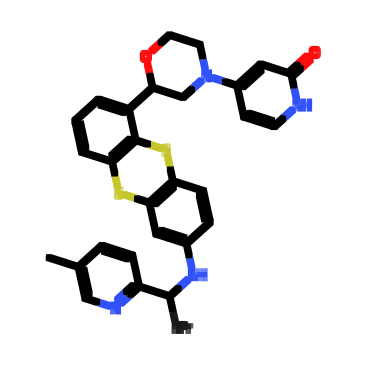 CCCC(Nc1ccc2c(c1)Sc1cccc(C3CN(c4cc[nH]c(=O)c4)CCO3)c1S2)c1ccc(C)cn1